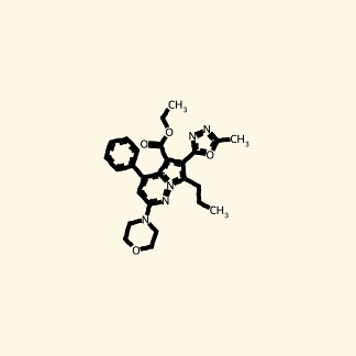 CCCc1c(-c2nnc(C)o2)c(C(=O)OCC)c2c(-c3ccccc3)cc(N3CCOCC3)nn12